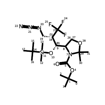 CC(C)(C)OC(=O)N1C([C@H](O[Si](C)(C)C(C)(C)C)[C@H](CN=[N+]=[N-])C(F)(F)F)COC1(C)C